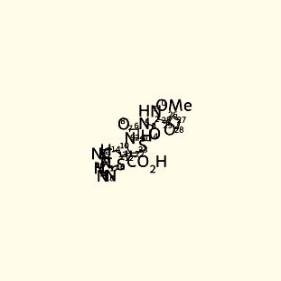 CON=C(C(=O)NC1C(=O)N2CC(C(=O)O)(C(CC#N)Sc3nnn[nH]3)CS[C@H]12)c1ccco1